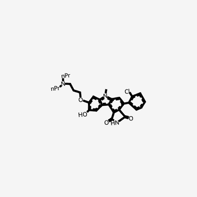 CCCN(CCC)CCCOc1cc2c(cc1O)c1c3c(c(-c4ccccc4Cl)cc1n2C)C(=O)NC3=O